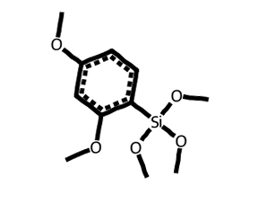 COc1ccc([Si](OC)(OC)OC)c(OC)c1